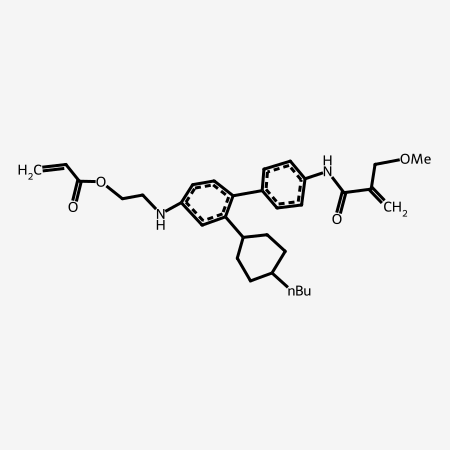 C=CC(=O)OCCNc1ccc(-c2ccc(NC(=O)C(=C)COC)cc2)c(C2CCC(CCCC)CC2)c1